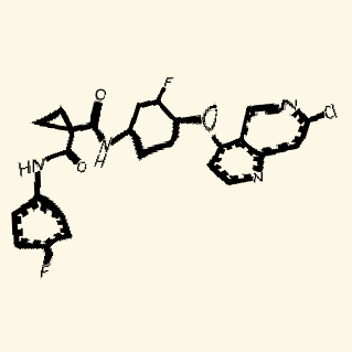 O=C(Nc1ccc(F)cc1)C1(C(=O)NC2CCC(Oc3ccnc4cc(Cl)ncc34)C(F)C2)CC1